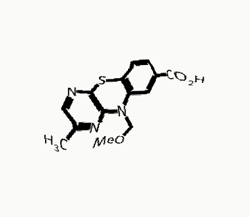 COCN1c2cc(C(=O)O)ccc2Sc2ncc(C)nc21